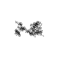 CC[C@H](C)C([C@@H](CC(=O)N1C[C@@H](OC(=O)N(C)CCNC(=O)OCc2ccc(NC(=O)C(CCCNC(N)=O)NC(=O)[C@@H](NC(=O)CCCCCN3C(=O)CC(SCC4(CC(=O)ON5C(=O)CCC5=O)CC4)C3=O)C(C)C)cc2)C[C@H]1[C@H](OC)[C@@H](C)C(=O)N[C@@H](C)C(=O)c1ccc(F)cc1)OC)N(C)C(=O)[C@@H](NC(=O)[C@H](C(C)C)N(C)C)C(C)C